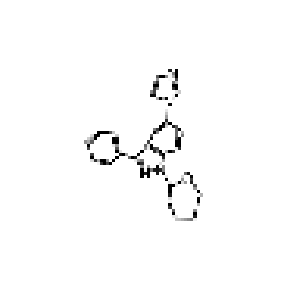 c1ccc(-c2nn(C3CCCCO3)c3cnc(-n4ccnc4)cc23)cc1